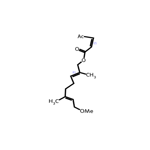 COCC=C(C)CC/C=C(\C)COC(=O)/C=C\C(C)=O